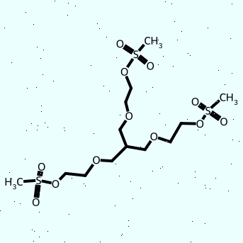 CS(=O)(=O)OCCOCC(COCCOS(C)(=O)=O)COCCOS(C)(=O)=O